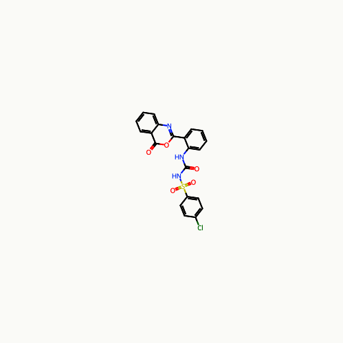 O=C(Nc1ccccc1-c1nc2ccccc2c(=O)o1)NS(=O)(=O)c1ccc(Cl)cc1